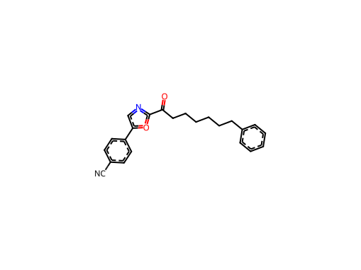 N#Cc1ccc(-c2cnc(C(=O)CCCCCCc3ccccc3)o2)cc1